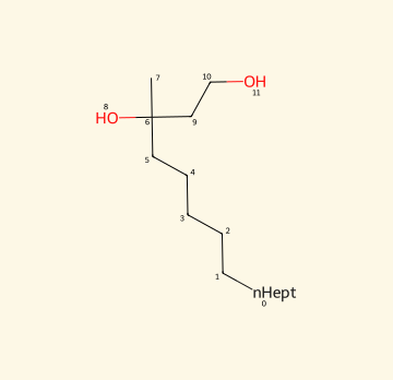 CCCCCCCCCCCCC(C)(O)CCO